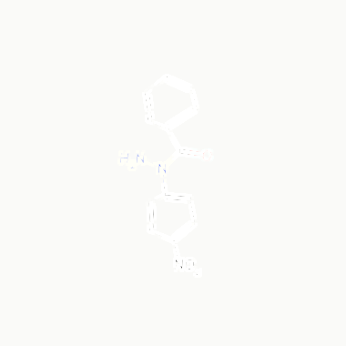 NN(C(=O)c1ccccc1)c1ccc([N+](=O)[O-])cc1